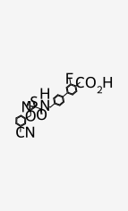 N#Cc1cccc(Oc2ncsc2C(=O)NCc2ccc(-c3ccc(C(=O)O)c(F)c3)cc2)c1